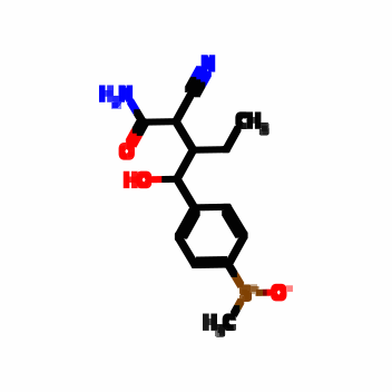 CCC(C(C#N)C(N)=O)C(O)c1ccc([S+](C)[O-])cc1